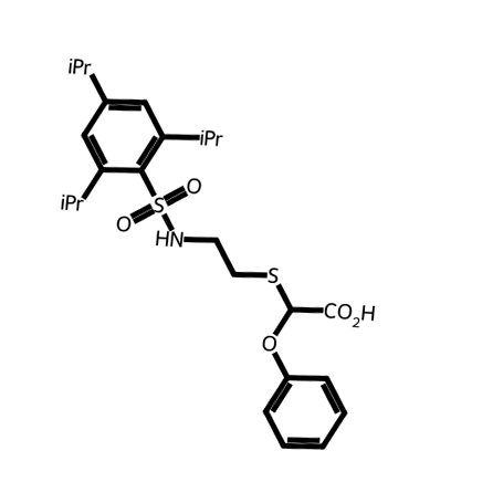 CC(C)c1cc(C(C)C)c(S(=O)(=O)NCCSC(Oc2ccccc2)C(=O)O)c(C(C)C)c1